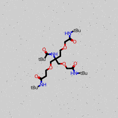 CC(C)(C)NC(=O)CCOCC(CCOCC(=O)NC(C)(C)C)(COCC(=O)NC(C)(C)C)NC(=O)C(C)(C)C